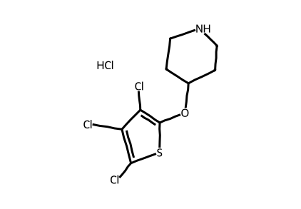 Cl.Clc1sc(OC2CCNCC2)c(Cl)c1Cl